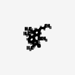 CCCc1cc(OC)c(-c2c(C)ccc3c2CC(=O)N3C)c(OC)c1